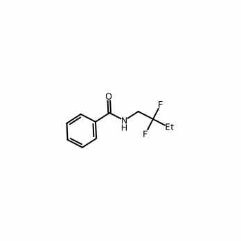 CCC(F)(F)CNC(=O)c1ccccc1